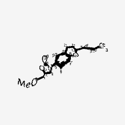 COC[C@@H]1CN(c2ccc3c(c2)CCC(CCC(F)(F)F)O3)C(=O)O1